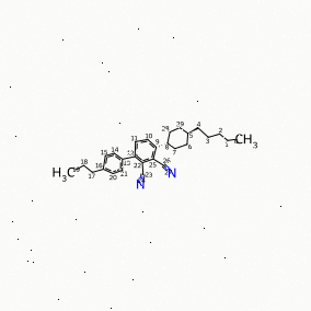 CCCCC[C@H]1CC[C@H](c2ccc(-c3ccc(CCC)cc3)c(C#N)c2C#N)CC1